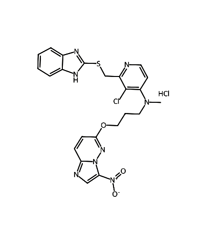 CN(CCCOc1ccc2ncc([N+](=O)[O-])n2n1)c1ccnc(CSc2nc3ccccc3[nH]2)c1Cl.Cl